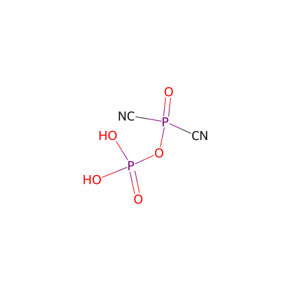 N#CP(=O)(C#N)OP(=O)(O)O